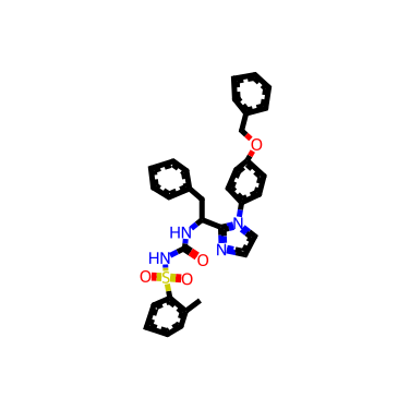 Cc1ccccc1S(=O)(=O)NC(=O)NC(Cc1ccccc1)c1nccn1-c1ccc(OCc2ccccc2)cc1